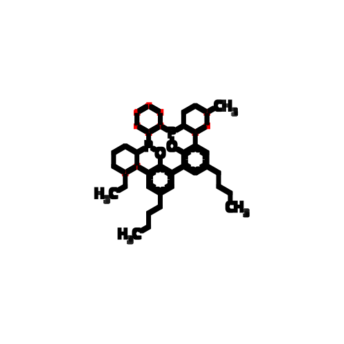 CCCCc1cc(CCCC)c(OP(C2CCCCC2)C2CCCCC2)c(-c2cc(CCCC)cc(CCCC)c2OP(C2CCCCC2)C2CCCCC2)c1